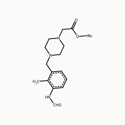 Cc1c(CN2CCN(CC(=O)OC(C)(C)C)CC2)cccc1NC=O